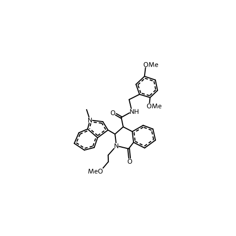 COCCN1C(=O)c2ccccc2C(C(=O)NCc2cc(OC)ccc2OC)C1c1cn(C)c2ccccc12